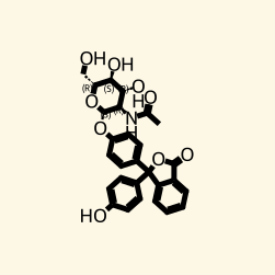 CC(=O)N[C@H]1[C@H](Oc2ccc(C3(c4ccc(O)cc4)OC(=O)c4ccccc43)cc2)O[C@H](CO)[C@@H](O)[C@@H]1O